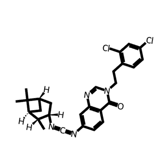 C[C@H]1[C@@H](N=C=Nc2ccc3c(=O)n(CCc4ccc(Cl)cc4Cl)cnc3c2)C[C@@H]2C[C@@H]1C2(C)C